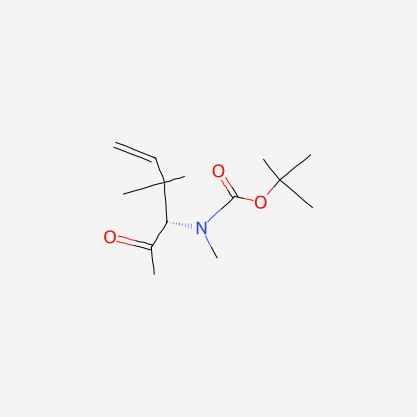 C=CC(C)(C)[C@@H](C(C)=O)N(C)C(=O)OC(C)(C)C